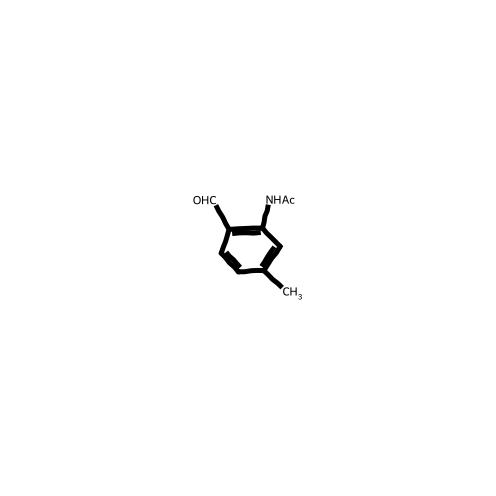 CC(=O)Nc1cc(C)ccc1C=O